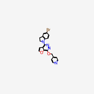 Brc1ccc2c(c1)CCN2c1nnc(OCc2ccncc2)c2occc12